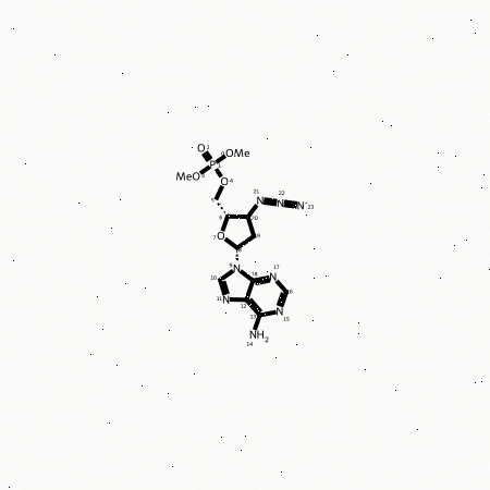 COP(=O)(OC)OC[C@H]1O[C@@H](n2cnc3c(N)ncnc32)CC1N=[N+]=[N-]